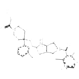 Cc1ncnc(C)c1C(=O)N1CC2CC(CCC3(c4cccc(F)c4)CCN(C(=O)CC(F)(F)F)CC3)NC2C1